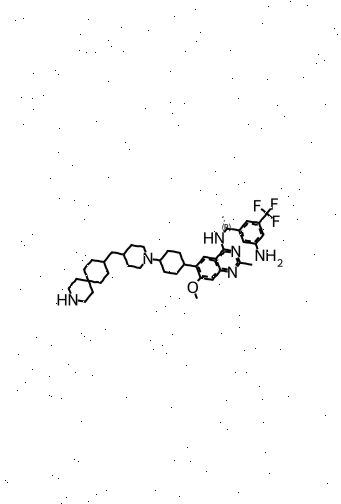 COc1cc2nc(C)nc(N[C@H](C)c3cc(N)cc(C(F)(F)F)c3)c2cc1C1CCC(N2CCC(CC3CCC4(CCNCC4)CC3)CC2)CC1